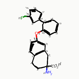 NC1(C(=O)O)CCc2ccc(Oc3ccccc3-c3cccc(F)c3)cc2C1